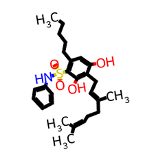 CCCCCc1cc(O)c(C/C=C(\C)CCC=C(C)C)c(O)c1S(=O)(=O)Nc1ccccc1